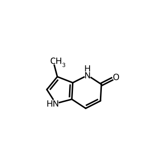 Cc1c[nH]c2ccc(=O)[nH]c12